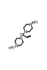 C=C[Si](C)(N1CCN(CCC)CC1)N1CCN(CCC)CC1